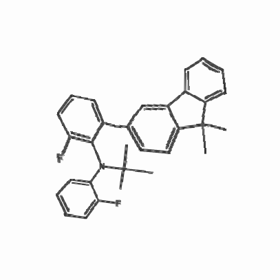 CC1(C)c2ccccc2-c2cc(-c3cccc(F)c3N(c3ccccc3F)C(C)(C)C)ccc21